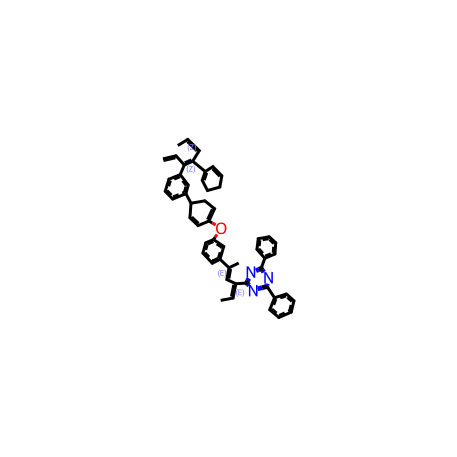 C=C/C(=C(\C=C/C)C1=CCCC=C1)c1cccc(C2C=CC(Oc3cccc(/C(C)=C/C(=C\C)c4nc(-c5ccccc5)nc(-c5ccccc5)n4)c3)=CC2)c1